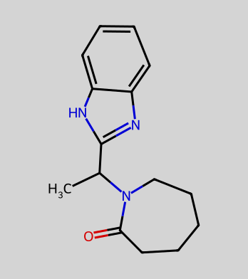 CC(c1nc2ccccc2[nH]1)N1CCCCCC1=O